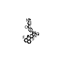 C#Cc1c(F)ccc2cccc(-c3ncc4c(N5CCN(C(=O)/C(F)=C/c6nccs6)CC5)nc(OC)nc4c3F)c12